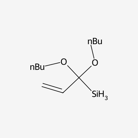 C=CC([SiH3])(OCCCC)OCCCC